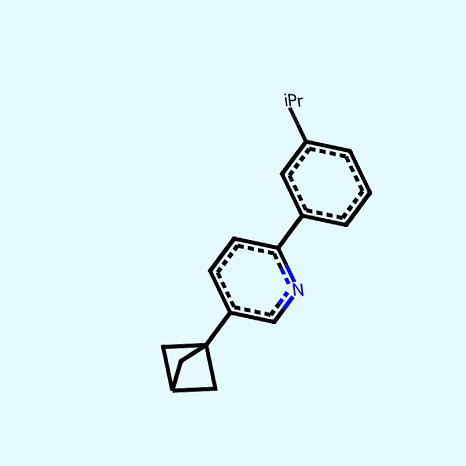 CC(C)c1cccc(-c2ccc(C34CC(C3)C4)cn2)c1